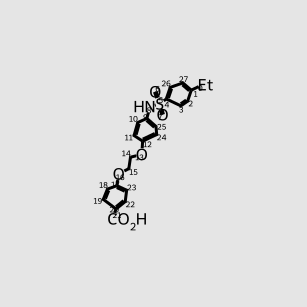 CCc1ccc(S(=O)(=O)Nc2ccc(OCCOc3ccc(C(=O)O)cc3)cc2)cc1